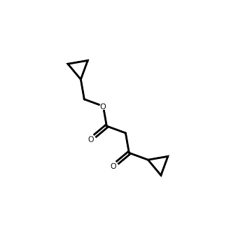 O=C(CC(=O)C1CC1)OCC1CC1